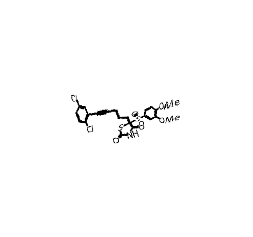 COc1ccc(S(=O)(=O)C2(CCCC#Cc3cc(Cl)ccc3Cl)SC(=O)NC2=O)cc1OC